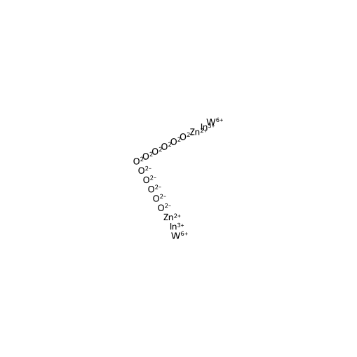 [In+3].[In+3].[O-2].[O-2].[O-2].[O-2].[O-2].[O-2].[O-2].[O-2].[O-2].[O-2].[O-2].[W+6].[W+6].[Zn+2].[Zn+2]